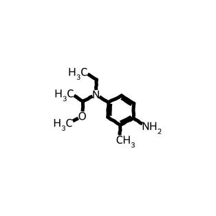 CCN(c1ccc(N)c(C)c1)C(C)OC